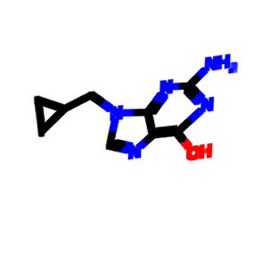 Nc1nc(O)c2ncn(CC3[CH]C3)c2n1